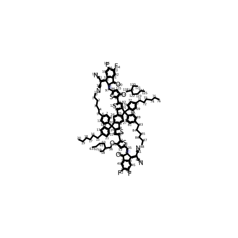 CCCCCCc1ccc(C2(c3ccc(CCCCCC)cc3)c3cc4c(cc3-c3sc(-c5sc(/C=C6\C(=O)c7cc(F)c(F)cc7C6=C(C#N)C#N)cc5OCC(CC)CCCC)cc32)C(c2ccc(CCCCCC)cc2)(c2ccc(CCCCCC)cc2)c2cc(-c3sc(/C=C5\C(=O)c6cc(F)c(F)cc6C5=C(C#N)C#N)cc3OCC(CC)CCCC)sc2-4)cc1